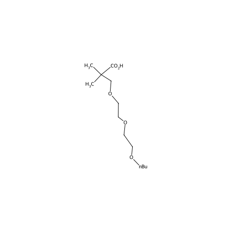 CCCCOCCOCCOCC(C)(C)C(=O)O